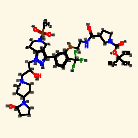 CC(C)(C)OC(=O)N1CCC(C(=O)NCCSc2cc(-c3nn(CC(O)CN4CCC(N5CCCC5=O)CC4)c4c3CN(S(C)(=O)=O)CC4)ccc2C(F)(F)F)C1